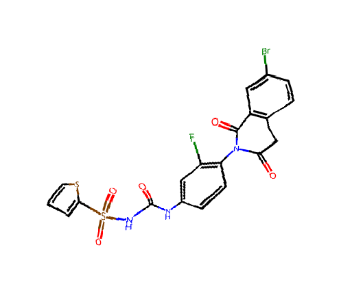 O=C(Nc1ccc(N2C(=O)Cc3ccc(Br)cc3C2=O)c(F)c1)NS(=O)(=O)c1cccs1